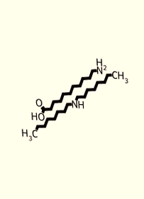 CCCCCCCCNCCCCCCCC.NCCCCCCCCCCC(=O)O